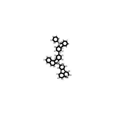 c1ccc(-n2c3ccccc3c3cc(-c4ccc5c(c4)c4c6ccccc6ccc4n5-c4cc5c(cn4)-c4ccnc6cccc-5c46)ccc32)cc1